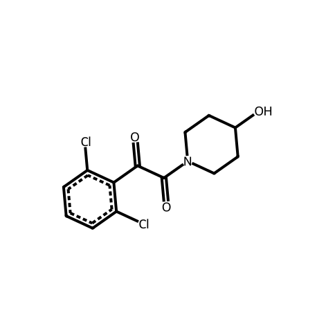 O=C(C(=O)N1CCC(O)CC1)c1c(Cl)cccc1Cl